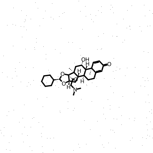 CN(C)CC(=O)[C@@]12O[C@H](C3CCCCC3)O[C@H]1C[C@H]1[C@@H]3CCC4=CC(=O)C=C[C@]4(C)[C@H]3[C@@H](O)C[C@@]12C